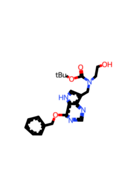 CC(C)(C)OC(=O)N(CCO)Cc1c[nH]c2c(OCc3ccccc3)ncnc12